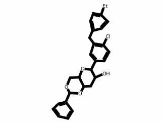 CCc1ccc(Cc2cc(C3OC4COC(c5ccccc5)OC4CC3O)ccc2Cl)cc1